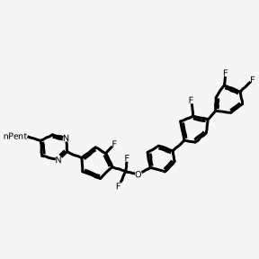 CCCCCc1cnc(-c2ccc(C(F)(F)Oc3ccc(-c4ccc(-c5ccc(F)c(F)c5)c(F)c4)cc3)c(F)c2)nc1